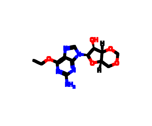 CCOc1nc(N)nc2c1ncn2[C@@H]1O[C@@H]2COCO[C@H]2[C@H]1O